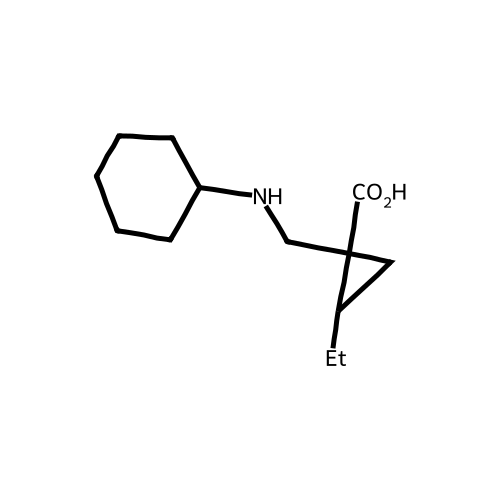 CCC1CC1(CNC1CCCCC1)C(=O)O